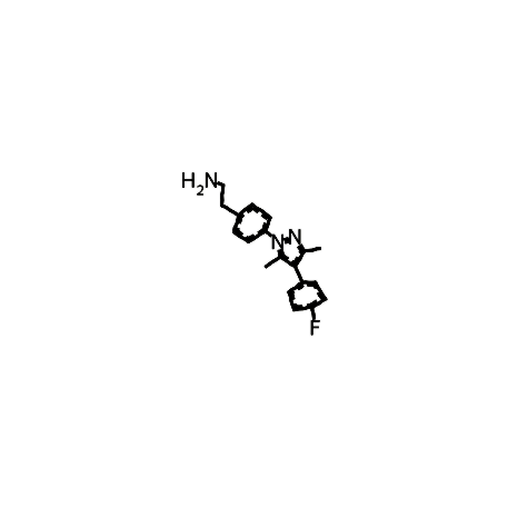 Cc1nn(-c2ccc(CCN)cc2)c(C)c1-c1ccc(F)cc1